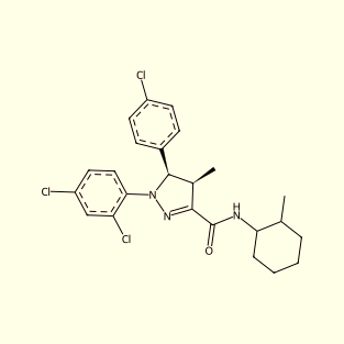 CC1CCCCC1NC(=O)C1=NN(c2ccc(Cl)cc2Cl)[C@@H](c2ccc(Cl)cc2)[C@H]1C